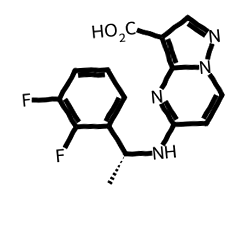 C[C@@H](Nc1ccn2ncc(C(=O)O)c2n1)c1cccc(F)c1F